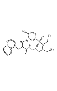 CCCNC(Cc1cccc2ccccc12)C(=O)NCCCC(CO)N(CC(C)C)S(=O)(=O)c1ccc(N)cc1